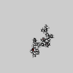 c1ccc2c(c1)-c1ccccc1[Si]1(c3ccccc3-2)c2ccccc2-c2ccc(-n3c4ccc(-c5ccc6c(c5)-c5ccccc5[Si]5(c7ccccc7-6)c6ccccc6-c6ccc(-n7c8ccccc8c8cc(-n9c%10ccccc%10n%10c%11ccccc%11nc9%10)ccc87)cc6-c6ccccc65)cc4n4c5ccccc5nc34)cc2-c2ccccc21